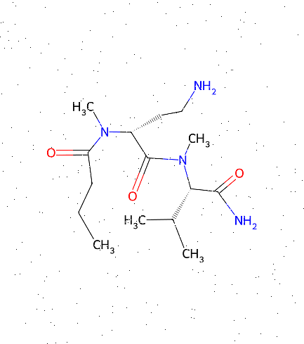 CCCC(=O)N(C)[C@H](CCN)C(=O)N(C)[C@H](C(N)=O)C(C)C